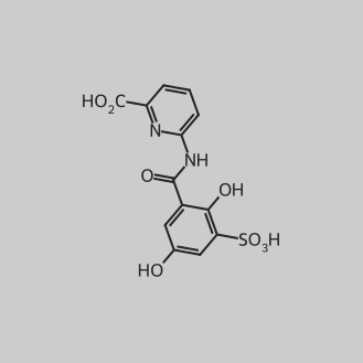 O=C(O)c1cccc(NC(=O)c2cc(O)cc(S(=O)(=O)O)c2O)n1